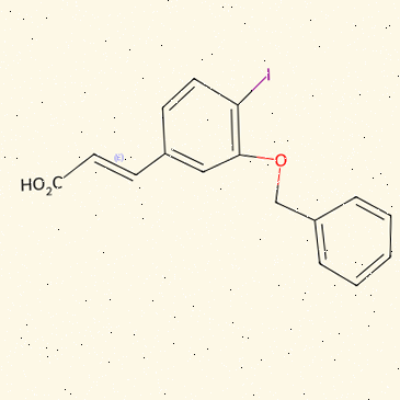 O=C(O)/C=C/c1ccc(I)c(OCc2ccccc2)c1